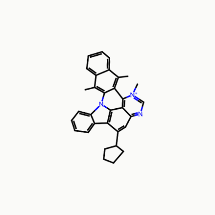 Cc1c2ccccc2c(C)c2c1c1c3c(cc(C4CCCC4)c4c5ccccc5n2c43)nc[n+]1C